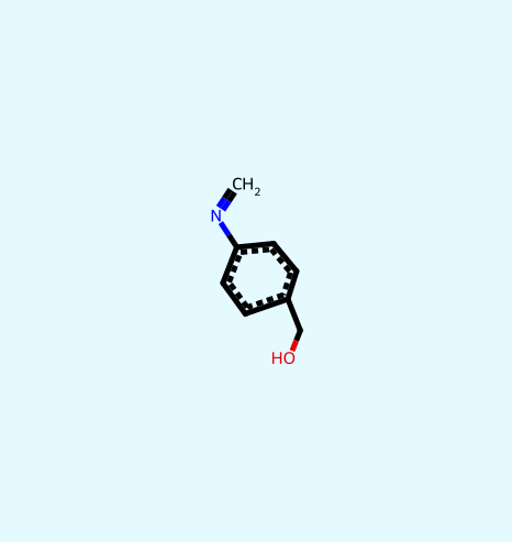 C=Nc1ccc(CO)cc1